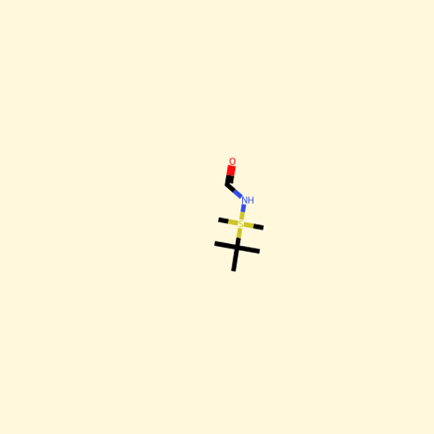 CC(C)(C)S(C)(C)NC=O